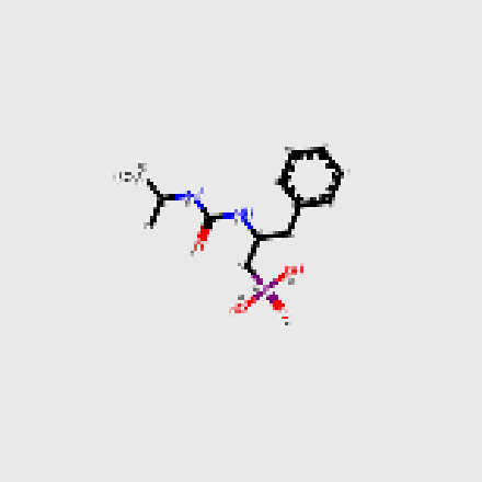 CC(NC(=O)NC(Cc1ccccc1)CP(=O)(O)O)C(=O)O